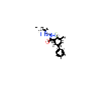 Cc1cc(-c2ccccc2)cc(C(=O)NNCC(F)(F)F)c1F